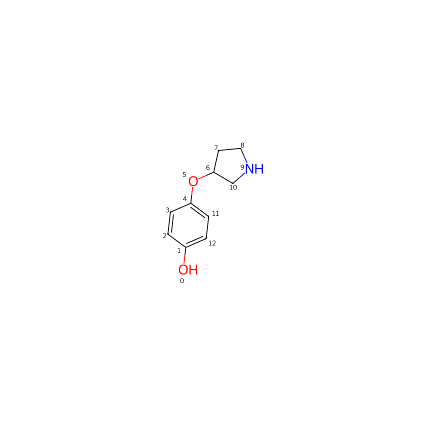 Oc1ccc(OC2CCNC2)cc1